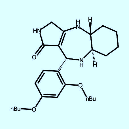 CCCCOc1ccc([C@H]2N[C@@H]3CCCC[C@H]3NC3=C2C(=O)NC3)c(OCCCC)c1